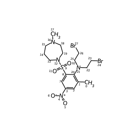 Cc1cc([N+](=O)[O-])cc(S(=O)(=O)N2CCCN(C)CC2)c1N(CCBr)CCBr